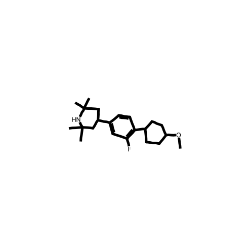 COC1CCC(c2ccc(C3CC(C)(C)NC(C)(C)C3)cc2F)CC1